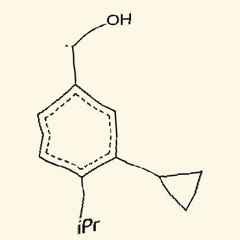 CC(C)c1ccc([CH]O)cc1C1CC1